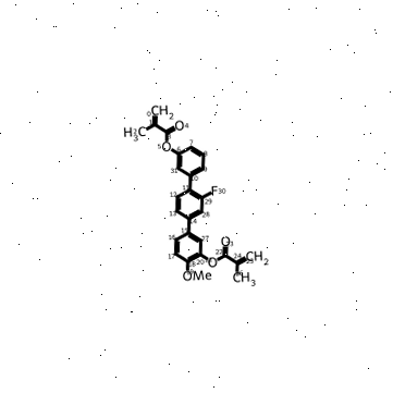 C=C(C)C(=O)Oc1cccc(-c2ccc(-c3ccc(OC)c(OC(=O)C(=C)C)c3)cc2F)c1